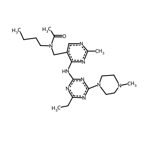 CCCCN(Cc1cnc(C)nc1Nc1nc(CC)nc(N2CCN(C)CC2)n1)C(C)=O